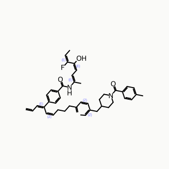 C=C/C=C(\C=C/CCCC(=C)/C=C\C(=C/C)CC1CCN(C(=O)c2ccc(C)cc2)CC1)c1ccc(C(=O)N/C(C)=C/C=C(O)\C(F)=C/C)cc1